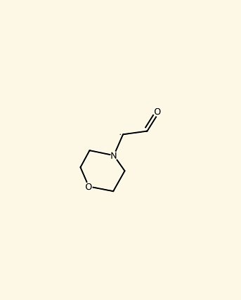 O=C[CH]N1CCOCC1